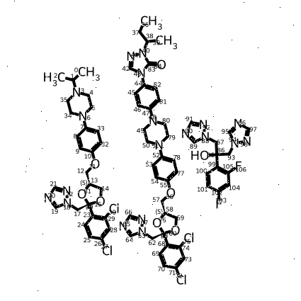 CC(C)N1CCN(c2ccc(OC[C@H]3CO[C@](Cn4cncn4)(c4ccc(Cl)cc4Cl)O3)cc2)CC1.CCC(C)n1ncn(-c2ccc(N3CCN(c4ccc(OC[C@H]5CO[C@](Cn6cncn6)(c6ccc(Cl)cc6Cl)O5)cc4)CC3)cc2)c1=O.OC(Cn1cncn1)(Cn1cncn1)c1ccc(F)cc1F